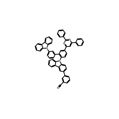 N#Cc1cccc(-c2ccc3c(c2)c2ccccc2n3-c2ccc(-c3cc(-c4ccccc4)nc(-c4ccccc4)n3)cc2-c2cccc(-n3c4ccccc4c4ccccc43)c2)c1